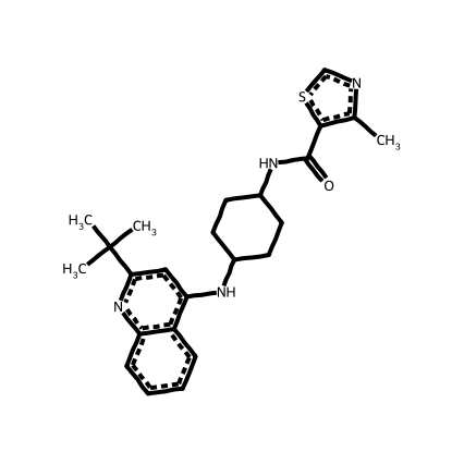 Cc1ncsc1C(=O)NC1CCC(Nc2cc(C(C)(C)C)nc3ccccc23)CC1